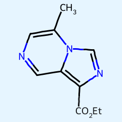 CCOC(=O)c1ncn2c(C)cncc12